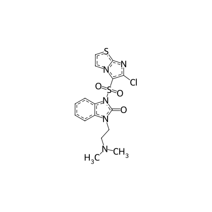 CN(C)CCn1c(=O)n(S(=O)(=O)c2c(Cl)nc3sccn23)c2ccccc21